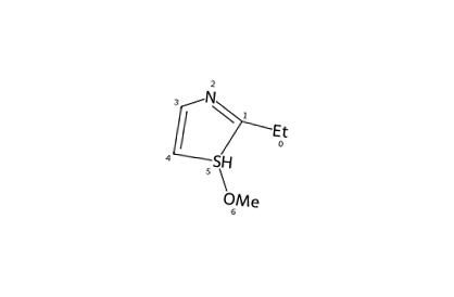 CCC1=NC=C[SH]1OC